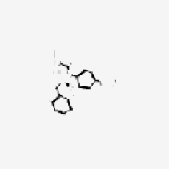 COc1ccc(N(C(N)=O)S(=O)(=O)Cc2ccccc2)cc1